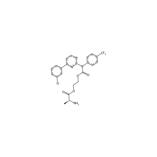 C[C@H](N)C(=O)OCCOC(=O)N(c1ccc(C(F)(F)F)cc1)c1nccc(-c2cccc(Cl)c2)n1